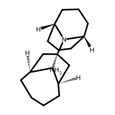 N[C@H]1C[C@H]2CCC[C@@H](C1)N2C1C[C@H]2CCCC[C@@H](C1)C2